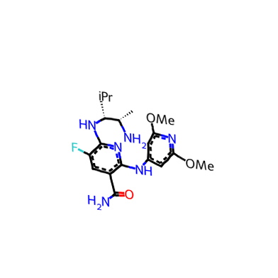 COc1cc(Nc2nc(N[C@H](C(C)C)[C@H](C)N)c(F)cc2C(N)=O)cc(OC)n1